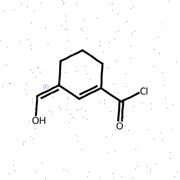 O=C(Cl)C1=C/C(=C\O)CCC1